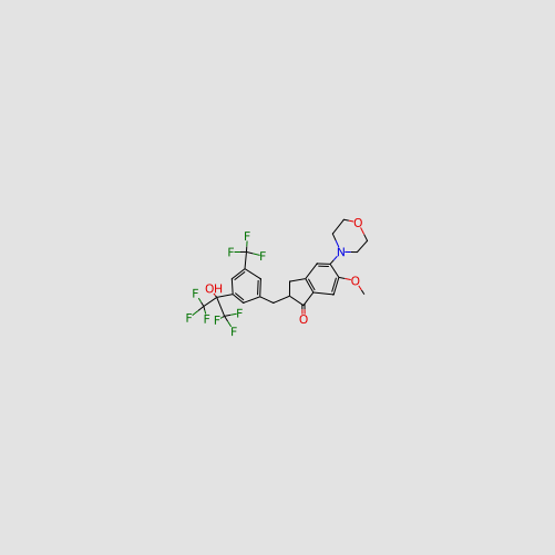 COc1cc2c(cc1N1CCOCC1)CC(Cc1cc(C(F)(F)F)cc(C(O)(C(F)(F)F)C(F)(F)F)c1)C2=O